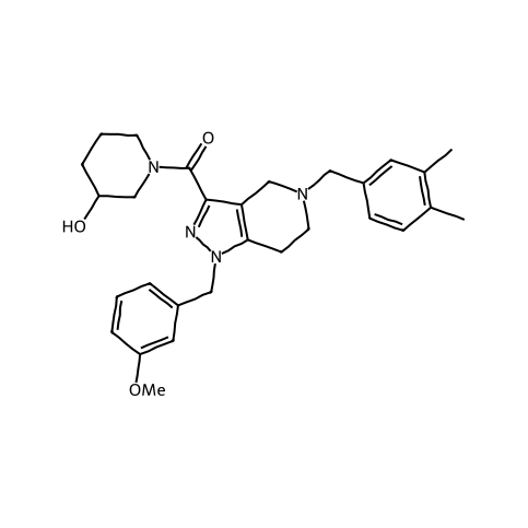 COc1cccc(Cn2nc(C(=O)N3CCCC(O)C3)c3c2CCN(Cc2ccc(C)c(C)c2)C3)c1